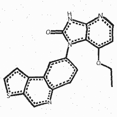 CCOc1ccnc2[nH]c(=O)n(-c3ccc4ncc5sccc5c4c3)c12